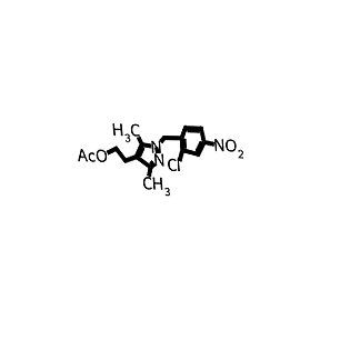 CC(=O)OCCc1c(C)nn(Cc2ccc([N+](=O)[O-])cc2Cl)c1C